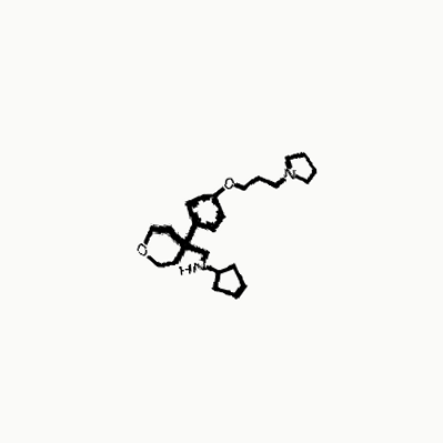 c1cc(C2(CNC3CCCC3)CCOCC2)ccc1OCCCN1CCCC1